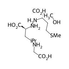 CC(C)C[C@H](N)C(=O)O.CO.CSCC[C@H](N)C(=O)O.NCC(=O)O